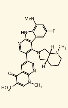 CNc1cc(F)cc2c1[nH]c1ncc(-c3cnc4c(c3)c(=O)c(C(=O)O)cn4C)c(N3C[C@H]4CCCN(C)[C@H]4C3)c12